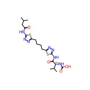 CC(C)CC(=O)Nc1nnc(CCCCc2nnc(NC(=O)[C@@H](NC(=O)O)C(C)C)s2)s1